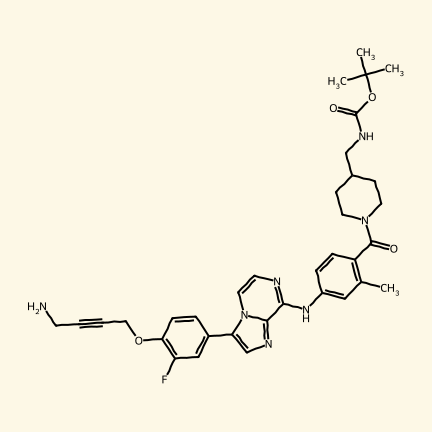 Cc1cc(Nc2nccn3c(-c4ccc(OCC#CCN)c(F)c4)cnc23)ccc1C(=O)N1CCC(CNC(=O)OC(C)(C)C)CC1